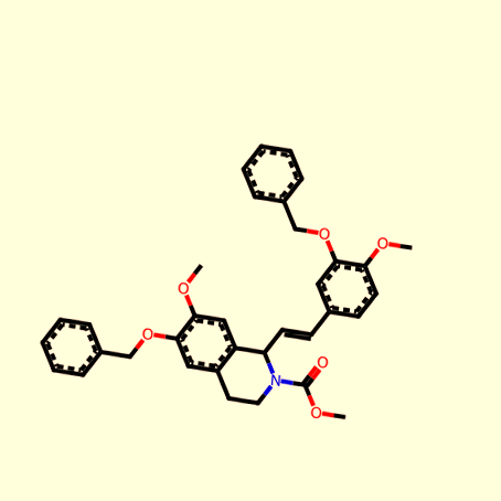 COC(=O)N1CCc2cc(OCc3ccccc3)c(OC)cc2C1/C=C/c1ccc(OC)c(OCc2ccccc2)c1